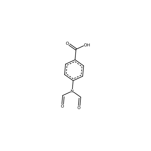 O=CN(C=O)c1ccc(C(=O)O)cc1